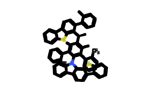 Cc1ccccc1-c1ccc2c(sc3ccccc32)c1[C@@H](C)c1c(C)c(-c2ccccc2C(F)(F)F)c(-n2c3ccccc3c3ccc4c5ccccc5sc4c32)c(-c2ccccc2C(F)(F)F)c1C